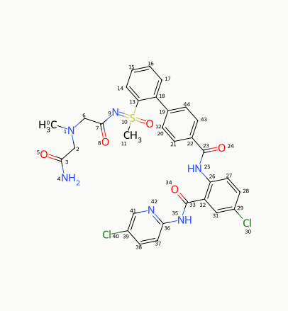 CN(CC(N)=O)CC(=O)N=S(C)(=O)c1ccccc1-c1ccc(C(=O)Nc2ccc(Cl)cc2C(=O)Nc2ccc(Cl)cn2)cc1